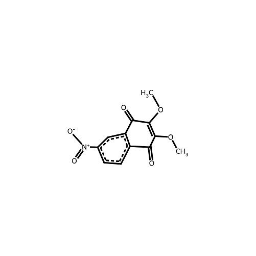 COC1=C(OC)C(=O)c2cc([N+](=O)[O-])ccc2C1=O